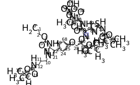 C=CCOC(=O)Nc1nn(CCCNC(=O)OC(C)(C)C)cc1-c1ccc(OCC(O/N=C(\C(=O)N[C@@H]2C(=O)N(OS(=O)(=O)O)C2(C)C)c2csc(NC(=O)OC(C)(C)C)n2)C(=O)OC(C)(C)C)cc1